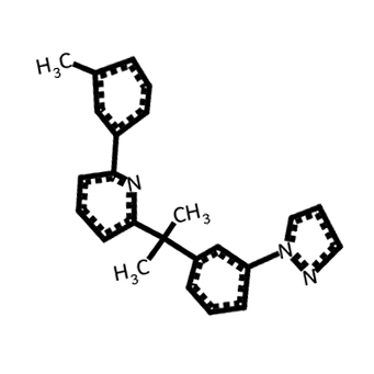 Cc1cccc(-c2cccc(C(C)(C)c3cccc(-n4cccn4)c3)n2)c1